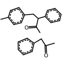 CC(=O)C(Cc1ccc(C)cc1)c1ccccc1.CC(=O)Cc1ccccc1